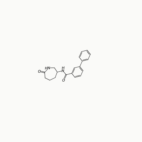 O=C1CCCC(NC(=O)c2cccc(-c3ccccc3)c2)CN1